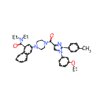 CCOc1cccc(-n2cc(C(=O)N3CCN(c4cc(C(=O)N(CC)CC)c5ccccc5c4)CC3)nc2-c2ccc(C)cc2)c1